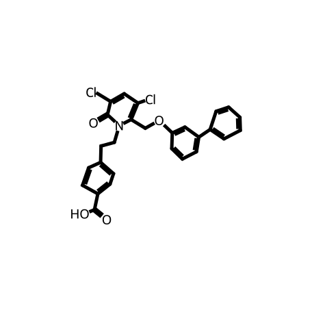 O=C(O)c1ccc(CCn2c(COc3cccc(-c4ccccc4)c3)c(Cl)cc(Cl)c2=O)cc1